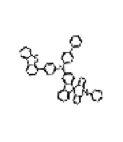 c1ccc(-c2ccc(N(c3ccc(-c4cccc5c4sc4ccccc45)cc3)c3ccc4c(c3)-c3ccccc3C43c4ccccc4N(c4ccccc4)c4ccccc43)cc2)cc1